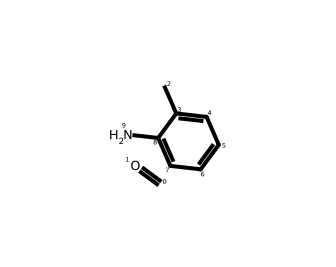 C=O.Cc1ccccc1N